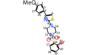 COc1ccc(-c2csc(N3CCN(S(=O)(=O)c4ccccc4Br)CC3)n2)cc1